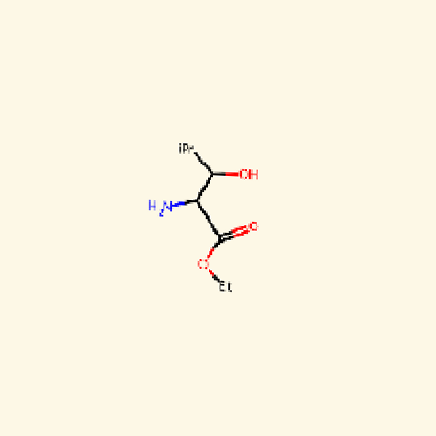 CCOC(=O)C(N)C(O)C(C)C